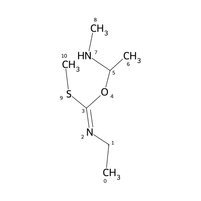 CC/N=C(\OC(C)NC)SC